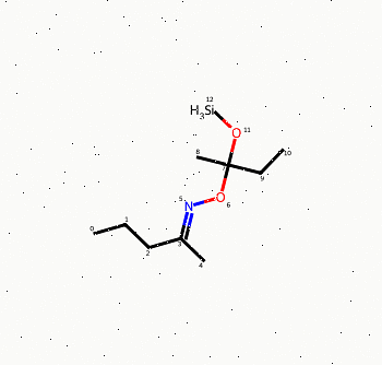 CCCC(C)=NOC(C)(CC)O[SiH3]